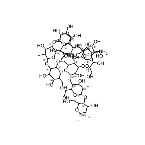 CC1C(O)[C@H](OC2OC(CO[C@]3(C(=O)O)C[C@@H](O)[C@@H](N)C(C(O)C(O)CO)O3)[C@H](O)[C@H](O)C2O)[C@H](CO)O[C@H]1O[C@@H]1C(O)[C@H](O)C(CO)O[C@@H]1OCC1O[C@@H](O[C@@H]2C(CO)O[C@@H](O[C@@H]3C(CO)O[C@@H](C)[C@@H](C)C3O)[C@@H](C)C2O)[C@H](O)C(O[C@H]2O[C@H](CO)[C@@H](O)C(O)C2O[C@@H]2OC(CO)[C@@H](O)C(O)[C@@H]2C)[C@@H]1O